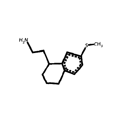 CSc1ccc2c(c1)C(CCN)CCC2